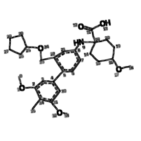 COc1cc(-c2ccc(NC3(C(=O)O)CCC(OC)CC3)cc2COC2CCCC2)cc(OC)c1C